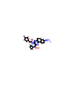 Nc1ccc2c(c1)CCc1nc(NC(=O)Cc3ccc(I)cc3)c(C(O)c3ccccc3)nc1-2